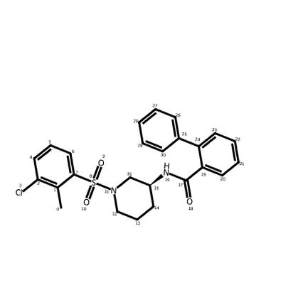 Cc1c(Cl)cccc1S(=O)(=O)N1CCC[C@H](NC(=O)c2ccccc2-c2ccccc2)C1